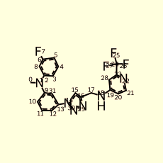 CN(c1cccc(F)c1)c1cccc(-n2cc(CNc3ccnc(C(F)(F)F)c3)nn2)c1